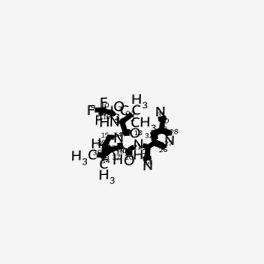 CC(C)(C)[C@H](NC(=O)C(F)(F)F)C(=O)N1C[C@H]2[C@@H]([C@H]1C(=O)NC(C#N)c1cncc(C#N)c1)C2(C)C